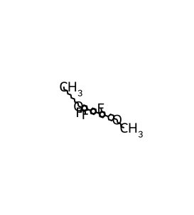 CCCCCCCCCOc1ccc(-c2ccc(-c3ccc(C4CCC(OCCCC)CC4)cc3F)cc2)c(F)c1F